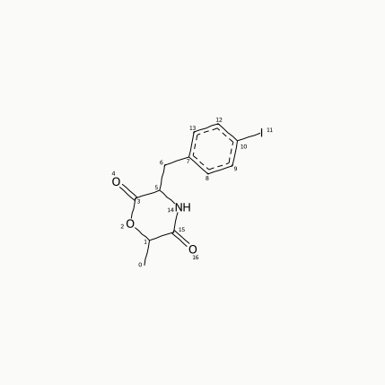 CC1OC(=O)C(Cc2ccc(I)cc2)NC1=O